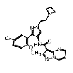 COc1ccc(Cl)cc1-c1nn(CCN2CCC2)cc1NC(=O)c1cnn2cccnc12